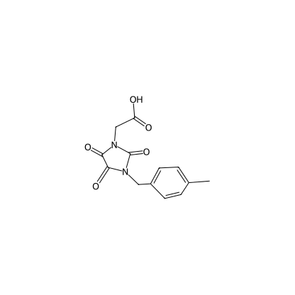 Cc1ccc(CN2C(=O)C(=O)N(CC(=O)O)C2=O)cc1